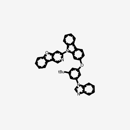 CC(C)(C)c1cc(Oc2ccc3c4ccccc4n(-c4cc5oc6ccccc6c5cn4)c3c2)cc(-n2cnc3ccccc32)c1